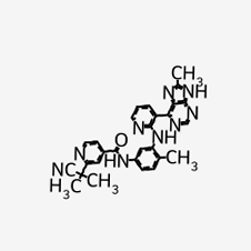 Cc1nc2c(-c3cccnc3Nc3cc(NC(=O)c4ccnc(C(C)(C)C#N)c4)ccc3C)ncnc2[nH]1